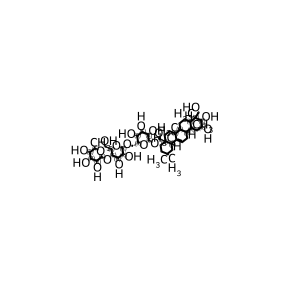 C[C@@H]1O[C@@H](O[C@H]2[C@H](O)[C@@H](O)[C@H](OC[C@H]3O[C@@H](OC(=O)[C@]45CCC(C)(C)C[C@H]4C4=CC[C@@H]6[C@@]7(C)C[C@@H](O)[C@H](O)[C@@](C)(CO)[C@@H]7CC[C@@]6(C)[C@]4(C)CC5)[C@H](O)[C@@H](O)[C@@H]3O)O[C@@H]2CO)[C@H](O)[C@H](O)[C@H]1O